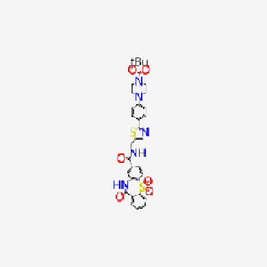 CC(C)(C)OC(=O)N1CCN(c2ccc(-c3ncc(CNC(=O)c4ccc5c(c4)NC(=O)c4ccccc4S5(=O)=O)s3)cc2)CC1